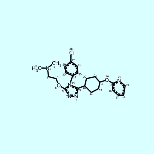 CN(C)CCOc1nnc(C2CCC(Oc3ccccn3)CC2)n1-c1ccc(Cl)cc1